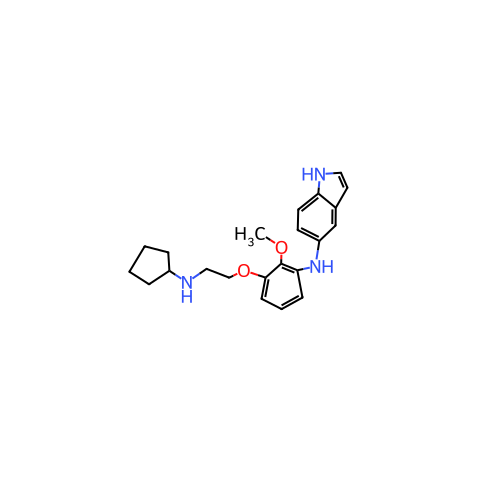 COc1c(Nc2ccc3[nH]ccc3c2)cccc1OCCNC1CCCC1